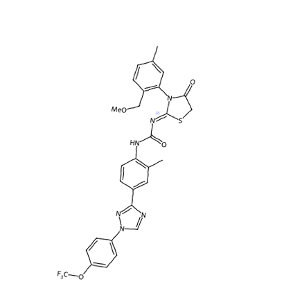 COCc1ccc(C)cc1N1C(=O)CS/C1=N\C(=O)Nc1ccc(-c2ncn(-c3ccc(OC(F)(F)F)cc3)n2)cc1C